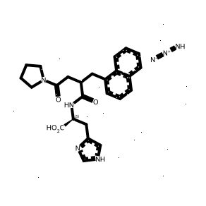 O=C(N[C@@H](Cc1c[nH]cn1)C(=O)O)C(CC(=O)N1CCCC1)Cc1cccc2ccccc12.[N-]=[N+]=N